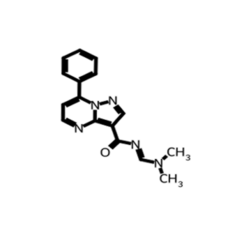 CN(C)C=NC(=O)c1cnn2c(-c3ccccc3)ccnc12